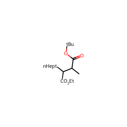 CCCCCCCC(C(=O)OCC)C(C)C(=O)OC(C)(C)C